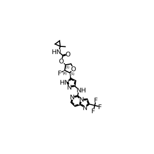 CC1(NC(=O)O[C@H]2CO[C@@H](c3cc(Nc4nccc5nc(C(F)(F)F)cn45)n[nH]3)[C@H]2F)CC1